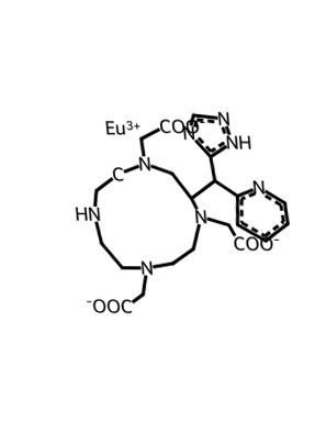 O=C([O-])CN1CCNCCN(CC(=O)[O-])CC(C(c2ccccn2)c2ncn[nH]2)N(CC(=O)[O-])CC1.[Eu+3]